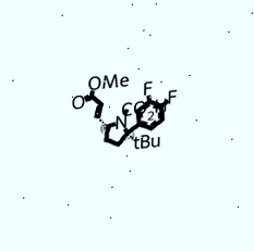 COC(=O)C=C[C@H]1CC[C@@](c2ccc(F)c(F)c2)(C(C)(C)C)N1C(=O)O